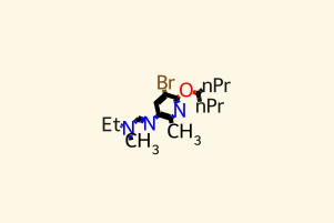 CCCC(CCC)Oc1nc(C)c(/N=C/N(C)CC)cc1Br